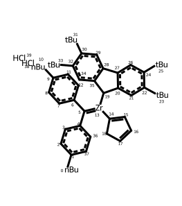 CCCCc1ccc([C](c2ccc(CCCC)cc2)=[Zr]([C]2=CC=CC2)[CH]2c3cc(C(C)(C)C)c(C(C)(C)C)cc3-c3cc(C(C)(C)C)c(C(C)(C)C)cc32)cc1.Cl.Cl